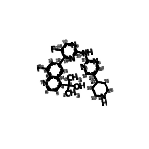 CC(C)(O)c1ccnc2c(F)cc(-c3nc(Nc4ncc(C5CCNCC5)cn4)ncc3F)cc12